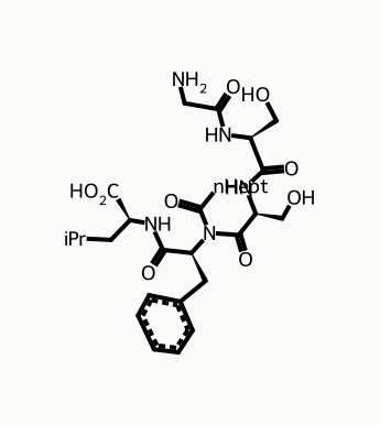 CCCCCCCC(=O)N(C(=O)[C@H](CO)NC(=O)[C@H](CO)NC(=O)CN)[C@@H](Cc1ccccc1)C(=O)N[C@@H](CC(C)C)C(=O)O